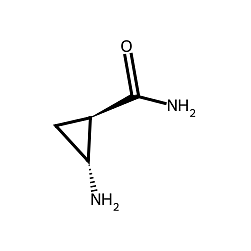 NC(=O)[C@@H]1C[C@H]1N